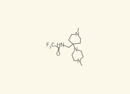 CN1CCN(C2(CNC(=O)C(F)(F)F)CCN(C)CC2)CC1